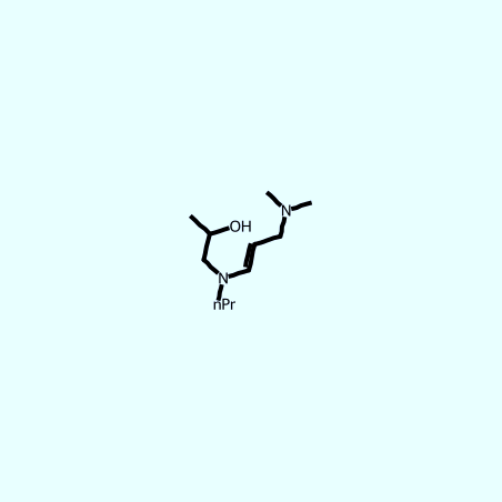 CCCN(C=CCN(C)C)CC(C)O